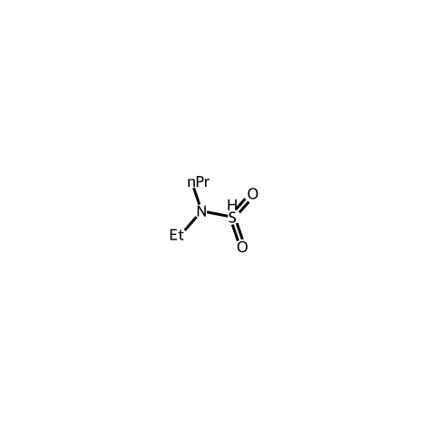 CCCN(CC)[SH](=O)=O